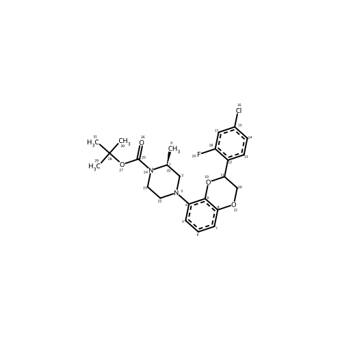 C[C@H]1CN(c2cccc3c2OC(c2ccc(Cl)cc2F)CO3)CCN1C(=O)OC(C)(C)C